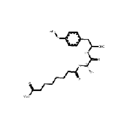 CCCCOc1ccc(CC(C=O)NC(=O)[C@@H](NC(=O)CCCCCCC(=O)OC)C(C)C)cc1